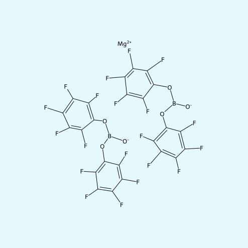 [Mg+2].[O-]B(Oc1c(F)c(F)c(F)c(F)c1F)Oc1c(F)c(F)c(F)c(F)c1F.[O-]B(Oc1c(F)c(F)c(F)c(F)c1F)Oc1c(F)c(F)c(F)c(F)c1F